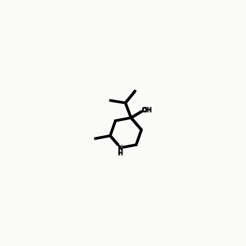 CC1CC(O)(C(C)C)CCN1